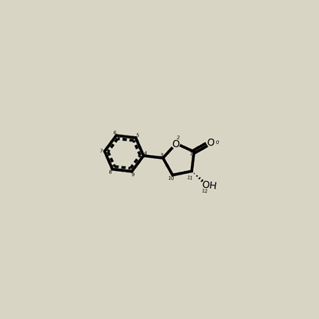 O=C1OC(c2ccccc2)C[C@H]1O